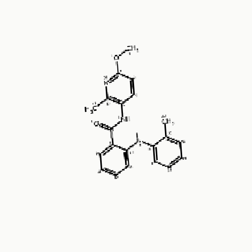 COc1ccc(NC(=O)c2ccccc2Nc2ccccc2C)c(C)n1